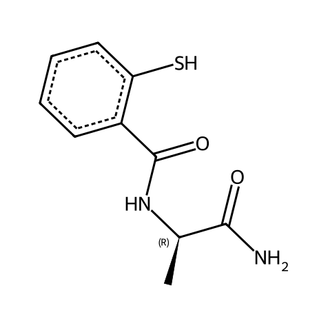 C[C@@H](NC(=O)c1ccccc1S)C(N)=O